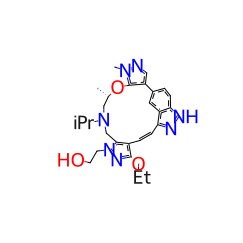 CCOc1nn(CCO)c2c1/C=C/c1n[nH]c3ccc(cc13)-c1cnn(C)c1O[C@@H](C)CN(C(C)C)C2